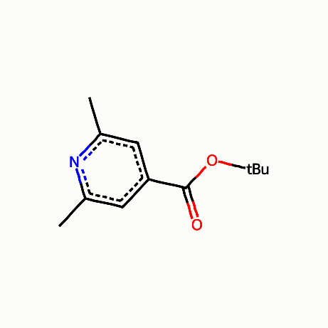 Cc1cc(C(=O)OC(C)(C)C)cc(C)n1